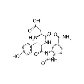 NC(=O)c1ccc2[nH]c(=O)n(C(=O)[C@H](Cc3ccc(O)cc3)NC(=O)[C@@H](N)CC(=O)O)c2c1